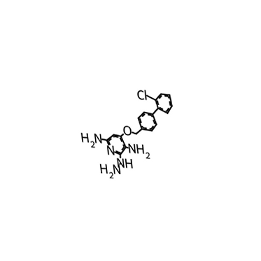 NNc1nc(N)cc(OCc2ccc(-c3ccccc3Cl)cc2)c1N